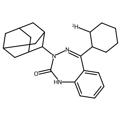 [2H]C1CCCCC1C1=NN(C2C3CC4CC(C3)CC2C4)C(=O)Nc2ccccc21